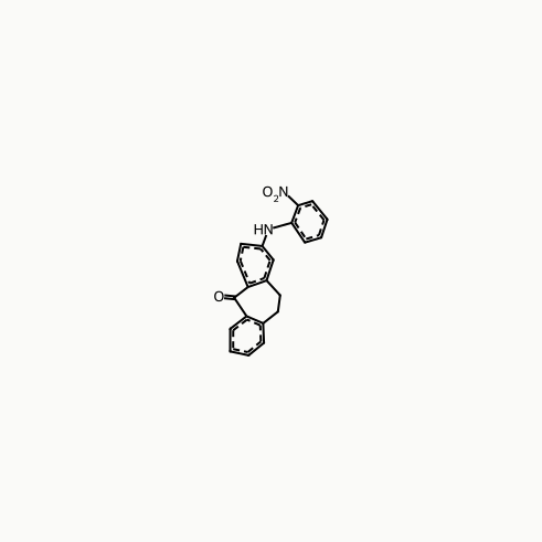 O=C1c2ccccc2CCc2cc(Nc3ccccc3[N+](=O)[O-])ccc21